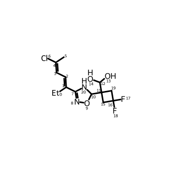 CC/C(=C\C=C(/C)Cl)C1=NOC(C2(C(O)O)CC(F)(F)C2)N1